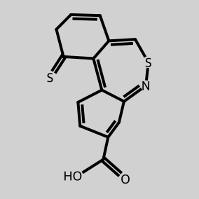 O=C(O)c1ccc2c(c1)=NSC=C1C=CCC(=S)C=21